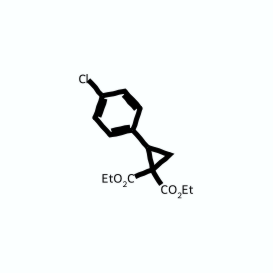 CCOC(=O)C1(C(=O)OCC)CC1c1ccc(Cl)cc1